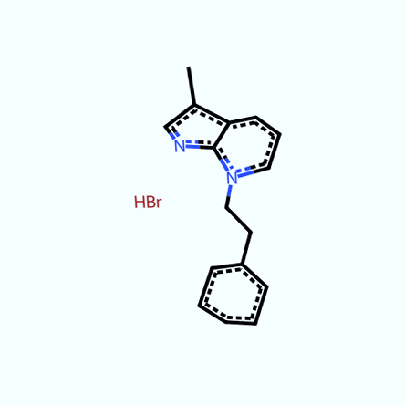 Br.Cc1cnc2n(CCc3ccccc3)cccc1-2